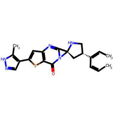 C/C=C\C(=C/C)[C@H]1CN[C@@]2(C1)c1nc3cc(-c4cn[nH]c4C)sc3c(=O)n12